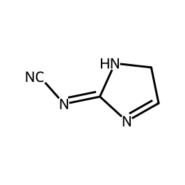 N#CN=C1N=CCN1